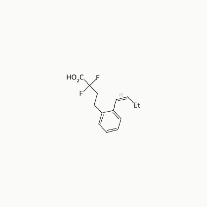 CC/C=C\c1ccccc1CCC(F)(F)C(=O)O